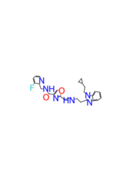 O=C(NCc1ncccc1F)c1coc(CCNCCc2nc3ccccc3n2CCC2CC2)n1